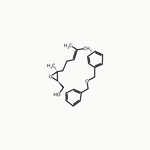 CC(C)=CCC[C@]1(C)O[C@@H]1CO.c1ccc(COCc2ccccc2)cc1